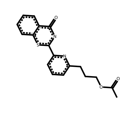 CC(=O)OCCCc1cccc(-c2nc(=O)c3ccccc3s2)n1